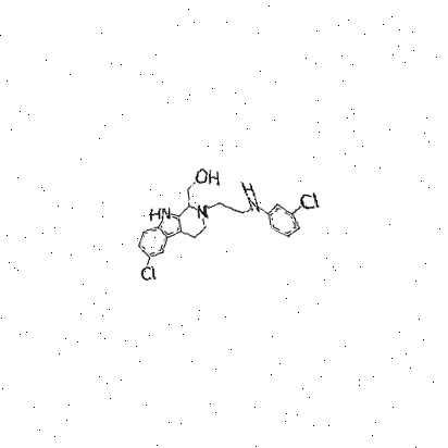 OCC1c2[nH]c3ccc(Cl)cc3c2CCN1CCNc1cccc(Cl)c1